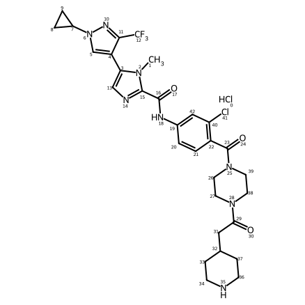 Cl.Cn1c(-c2cn(C3CC3)nc2C(F)(F)F)cnc1C(=O)Nc1ccc(C(=O)N2CCN(C(=O)CC3CCNCC3)CC2)c(Cl)c1